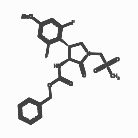 COc1cc(F)c([C@@H]2CN(CS(C)(=O)=O)C(=O)[C@H]2NC(=O)OCc2ccccc2)c(F)c1